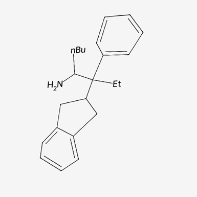 CCCCC(N)C(CC)(c1ccccc1)C1Cc2ccccc2C1